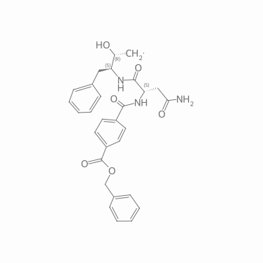 [CH2][C@@H](O)[C@H](Cc1ccccc1)NC(=O)[C@H](CC(N)=O)NC(=O)c1ccc(C(=O)OCc2ccccc2)cc1